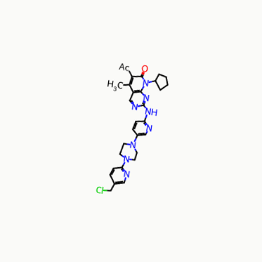 CC(=O)c1c(C)c2cnc(Nc3ccc(N4CCN(c5ccc(CCl)cn5)CC4)cn3)nc2n(C2CCCC2)c1=O